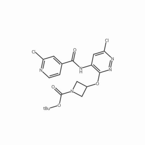 CC(C)(C)OC(=O)N1CC(Oc2nnc(Cl)cc2NC(=O)c2ccnc(Cl)c2)C1